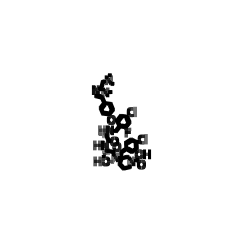 C[C@H](NCc1c(F)cc(Cl)cc1Oc1ccc(-c2cnc(CN(C)C)n2C)cc1)C(=O)N[C@@H](CO)C(=O)N(C)C1(Cc2ccc(Cl)cc2)CCCN(C(=O)O)C1